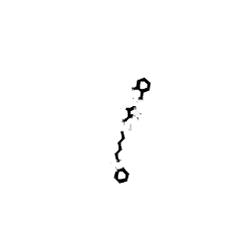 O=C(Nc1[nH]nc(C(=O)NCCCCCc2nc3ccccc3s2)c1Br)c1ccccc1Cl